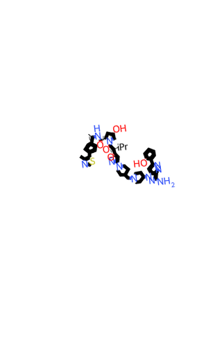 Cc1ncsc1-c1ccc([C@H](C)NC(=O)[C@@H]2C[C@@H](O)CN2C(=O)[C@@H](c2cc(N3CCC(CN4CCC(n5nc(N)c6nnc(-c7ccccc7O)cc65)CC4)CC3)no2)C(C)C)cc1